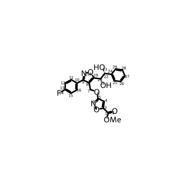 COC(=O)c1cc(OCc2c(-c3ccc(F)cc3)noc2[C@@H](O)[C@H](O)c2ccccc2)no1